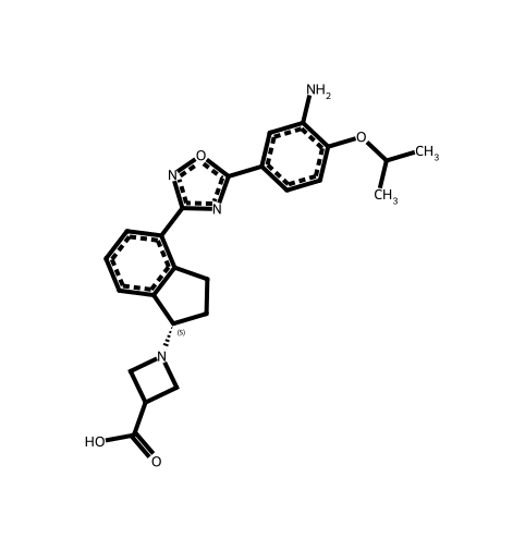 CC(C)Oc1ccc(-c2nc(-c3cccc4c3CC[C@@H]4N3CC(C(=O)O)C3)no2)cc1N